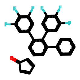 Fc1cc(-c2cccc(-c3ccccc3)c2-c2cc(F)c(F)c(F)c2)cc(F)c1F.O=C1C=CC=C1